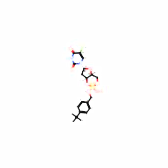 CC(C)(C)c1ccc(CO[PH]2(O)OC[C@H]3O[C@@H](n4cc(F)c(=O)[nH]c4=O)C[C@@H]3O2)cc1